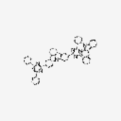 c1ccc(-c2nc(-c3ccccc3)nc(-c3ccc4c(c3)c3cccc5c6cc(-c7nc(-c8ccccc8)nc(-c8ccccc8-n8c9ccccc9c9ccccc98)n7)ccc6n4c35)n2)cc1